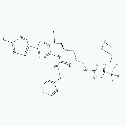 CCC[C@@H](CCCNc1ncc(C(F)(F)F)c(OC2COC2)n1)N(C(=O)NCc1ccccn1)c1ccc(-c2cnc(CC)nc2)cn1